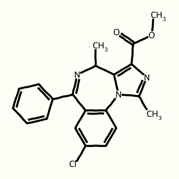 COC(=O)c1nc(C)n2c1C(C)N=C(c1ccccc1)c1cc(Cl)ccc1-2